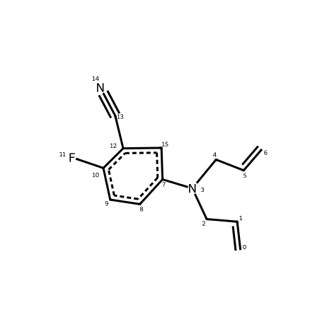 C=CCN(CC=C)c1ccc(F)c(C#N)c1